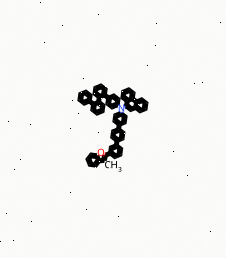 Cc1c(-c2cccc(-c3ccc(-c4ccc(N(c5ccc(-c6ccccc6-c6ccccc6-c6ccccc6)cc5)c5cc6ccccc6c6ccccc56)cc4)cc3)c2)oc2ccccc12